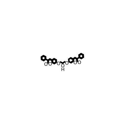 O=c1oc2c(cc1-c1ccccc1)=CCC(OCC(O)COc1ccc3cc(-c4ccccc4)c(=O)oc3c1)C=2